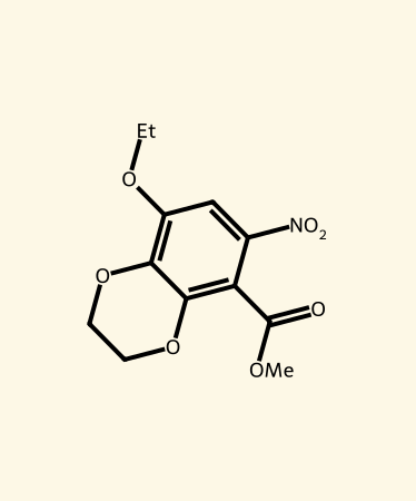 CCOc1cc([N+](=O)[O-])c(C(=O)OC)c2c1OCCO2